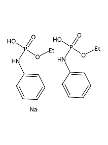 CCOP(=O)(O)Nc1ccccc1.CCOP(=O)(O)Nc1ccccc1.[Na]